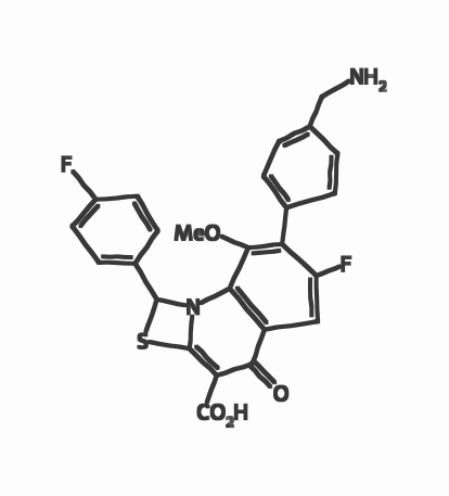 COc1c(-c2ccc(CN)cc2)c(F)cc2c(=O)c(C(=O)O)c3n(c12)C(c1ccc(F)cc1)S3